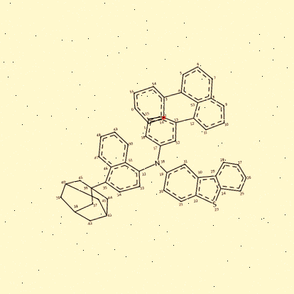 c1ccc(-c2cccc3cccc(-c4cccc(N(c5ccc6sc7ccccc7c6c5)c5ccc(C67CC8CC(CC(C8)C6)C7)c6ccccc56)c4)c23)cc1